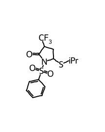 CC(C)SC1CC(C(F)(F)F)C(=O)N1S(=O)(=O)c1ccccc1